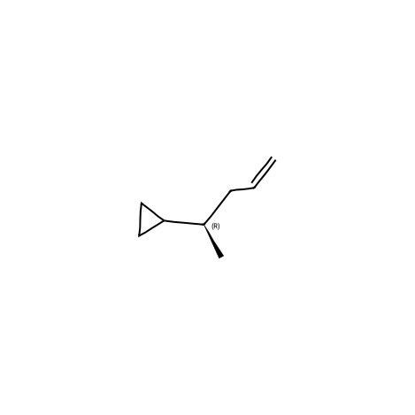 C=CC[C@@H](C)C1CC1